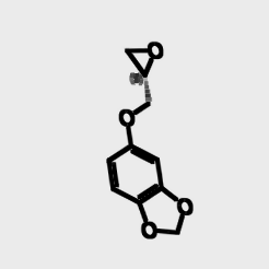 c1cc2c(cc1OC[C@@H]1CO1)OCO2